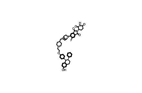 O=C1CCC(N2C(=O)c3cc(F)c(N4CC5CC4CN5CC4CCN(CCOc5ccc([C@@H]6c7ccc(O)cc7CC[C@@H]6c6ccccc6)cc5)CC4)cc3C2=O)C(=O)N1